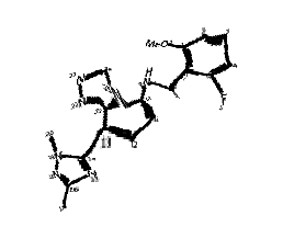 COc1cccc(F)c1CNc1ccc(-c2nc(C)nn2C)c2nncn12